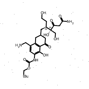 CC(C)(C)COC(=O)Nc1cc(CN)c2c(c1O)C(=O)CC(C[C@@H](CCO)[C@](O)(CO)C(=O)CC(N)=O)C2